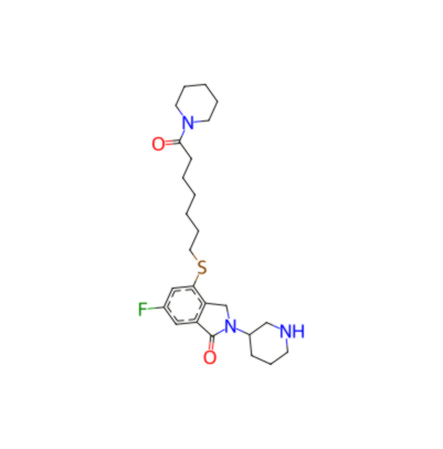 O=C(CCCCCCSc1cc(F)cc2c1CN(C1CCCNC1)C2=O)N1CCCCC1